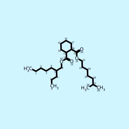 CCCCCC(CCC)COC(=O)C1CCCCC1C(=O)OCCCCCC(C)C